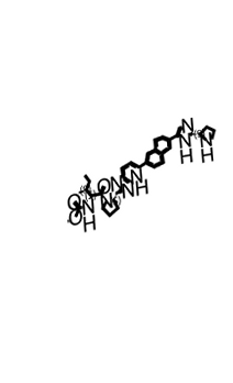 CC[C@H](C)[C@H](NC(=O)OC)C(=O)N1CCC[C@H]1c1nc2ccc(-c3ccc4cc(-c5cnc([C@@H]6CCCN6)[nH]5)ccc4c3)nc2[nH]1